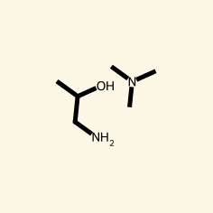 CC(O)CN.CN(C)C